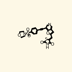 O=C1NC(=O)C(=Cc2cc3cncc(C#Cc4ccc(S(=O)(=O)N5CCOCC5)cc4)c3o2)S1